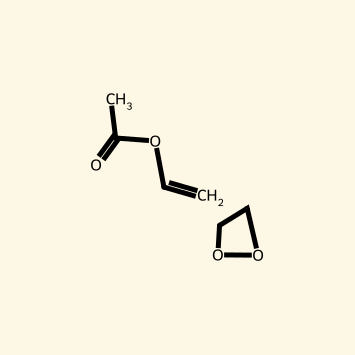 C1COO1.C=COC(C)=O